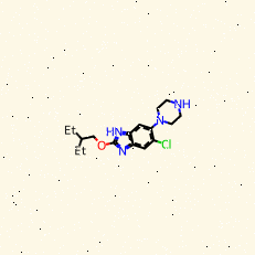 CCC(CC)COc1nc2cc(Cl)c(N3CCNCC3)cc2[nH]1